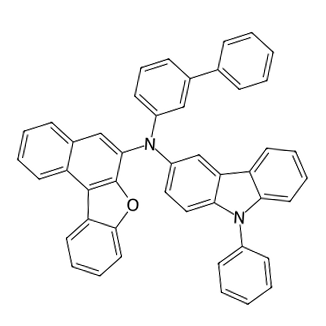 c1ccc(-c2cccc(N(c3ccc4c(c3)c3ccccc3n4-c3ccccc3)c3cc4ccccc4c4c3oc3ccccc34)c2)cc1